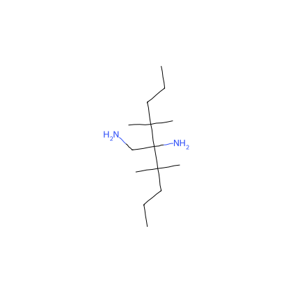 CCCC(C)(C)C(N)(CN)C(C)(C)CCC